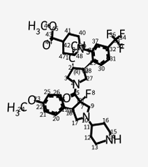 CC[C@H]1CN(C(=O)[C@]2(F)CN(C3CCNCC3)C[C@H]2c2ccc(OC)cc2)C[C@@H]1c1ccc(C(F)(F)F)cc1N1CCC(C(=O)OC)CC1